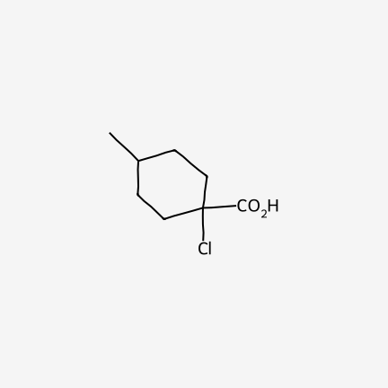 CC1CCC(Cl)(C(=O)O)CC1